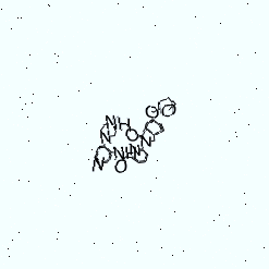 O=C(Nc1cnccc1N1CCNCC1)c1cccc(N2Cc3ccc(OC4CCCO4)cc3C2=O)n1